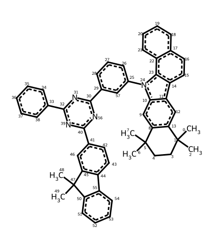 CC1(C)CCC(C)(C)c2cc3c(cc21)c1ccc2ccccc2c1n3-c1cccc(-c2nc(-c3ccccc3)nc(-c3ccc4c(c3)C(C)(C)c3ccccc3-4)n2)c1